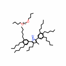 CCCCCc1cc(C2=C(C)C(CCCC)=C(c3cc(CCCCC)c(CCCCC)c(CCCCC)c3)[N+]2=[N-])cc(CCCCC)c1CCCCC.CCCC[O][Pd][O]CCCC